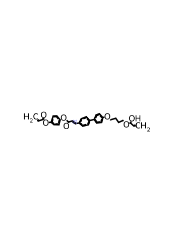 C=CC(=O)Oc1ccc(OC(=O)/C=C/c2ccc(-c3ccc(OCCCCOC(O)C=C)cc3)cc2)cc1